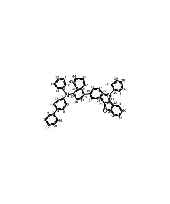 c1ccc(-c2ccc(N(c3ccccc3)c3ccc(-c4ccc5c(c4)c4oc6ccccc6c4n5-c4ccccc4)c4ccccc34)cc2)cc1